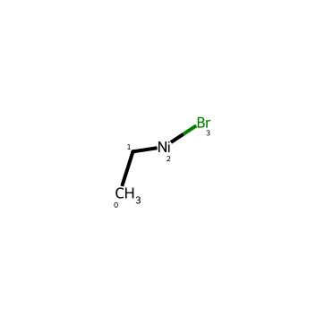 C[CH2][Ni][Br]